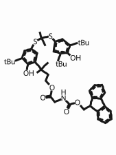 CC(C)(Sc1cc(C(C)(C)C)c(O)c(C(C)(C)C)c1)Sc1cc(C(C)(C)C)c(O)c(C(C)(C)CCOC(=O)CNC(=O)OCC2c3ccccc3-c3ccccc32)c1